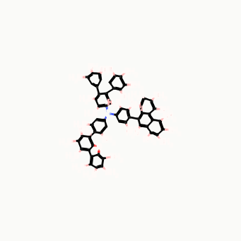 Bc1cc(-c2c(-c3cc(B)c(B)c(B)c3B)cc(N(c3cc(B)c(-c4c(B)c(B)c(B)c5c4oc4c(B)c(B)c(B)c(B)c45)c(B)c3)c3cc(B)c(-c4c(B)c5c(B)c(B)c(B)c(B)c5c5c(B)c(B)c(B)cc45)c(B)c3B)c(B)c2B)cc(B)c1B